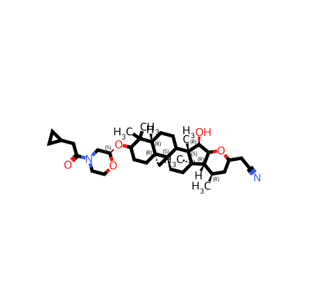 C[C@@H]1CC(CC#N)OC2[C@H]1[C@@]1(C)CC[C@@]34C[C@@]35CCC(O[C@H]3CN(C(=O)CC6CC6)CCO3)C(C)(C)[C@@H]5CCC4[C@]1(C)[C@H]2O